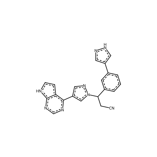 N#CCC(c1cccc(-c2cn[nH]c2)c1)n1cc(-c2ncnc3[nH]ccc23)cn1